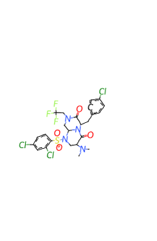 CN(C)C1CN(S(=O)(=O)c2ccc(Cl)cc2Cl)C2CN(CC(F)(F)F)C(=O)C(Cc3ccc(Cl)cc3)N2C1=O